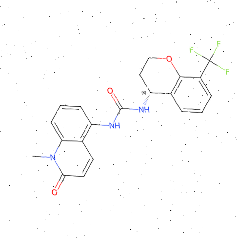 Cn1c(=O)ccc2c(NC(=O)N[C@@H]3CCOc4c3cccc4C(F)(F)F)cccc21